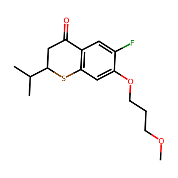 COCCCOc1cc2c(cc1F)C(=O)CC(C(C)C)S2